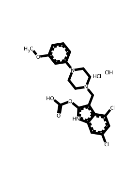 COc1cccc(N2CCN(Cc3c(OC(=O)O)[nH]c4cc(Cl)cc(Cl)c34)CC2)c1.Cl.Cl